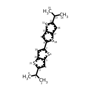 CC(C)c1cc2sc(-c3cc4sc(C(C)C)cc4s3)cc2s1